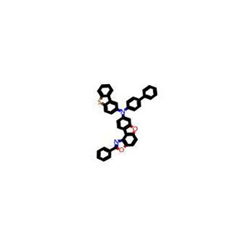 c1ccc(-c2ccc(N(c3ccc4c(c3)oc3ccc5oc(-c6ccccc6)nc5c34)c3ccc4sc5ccccc5c4c3)cc2)cc1